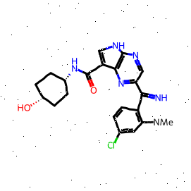 CNc1cc(Cl)ccc1C(=N)c1cnc2[nH]cc(C(=O)N[C@H]3CC[C@@H](O)CC3)c2n1